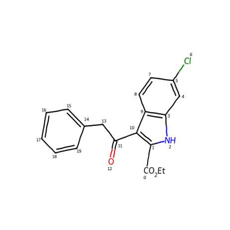 CCOC(=O)c1[nH]c2cc(Cl)ccc2c1C(=O)Cc1ccccc1